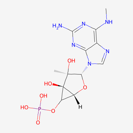 CNc1nc(N)nc2c1ncn2[C@@H]1O[C@@H]2C(OP(=O)(O)O)[C@]2(O)[C@@]1(C)O